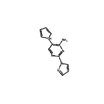 Nc1nc(-n2cccn2)ncc1[SH]1C=CC=C1